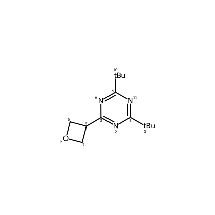 CC(C)(C)c1nc(C2COC2)nc(C(C)(C)C)n1